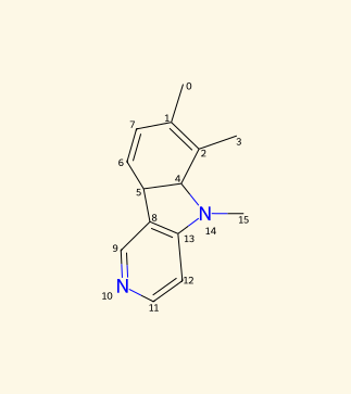 CC1=C(C)C2C(C=C1)c1cnccc1N2C